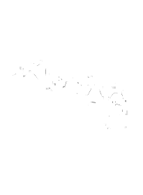 O=C(CN1Cc2ccc(-c3nc(NC4CCOCC4)ncc3Cl)cc2C1O)N[C@H](CO)c1cccc(OC(F)F)c1